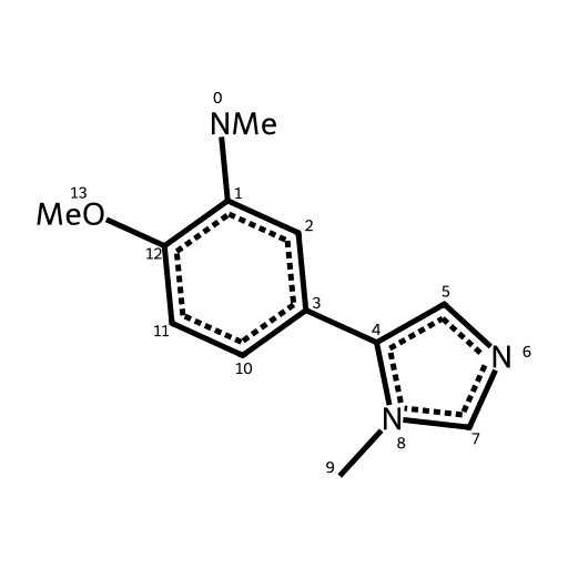 CNc1cc(-c2cncn2C)ccc1OC